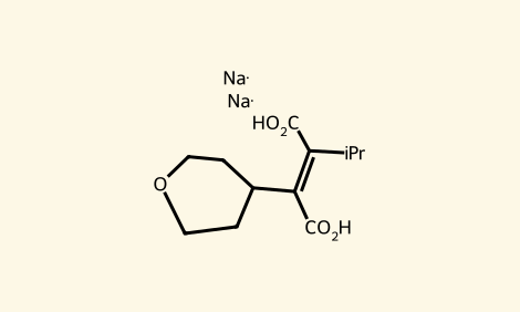 CC(C)C(C(=O)O)=C(C(=O)O)C1CCOCC1.[Na].[Na]